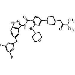 CC(C)C(=O)CN1CCN(c2ccc(C(=O)Nc3n[nH]c4ccc(Cc5cc(F)cc(F)c5)cc34)c(NC3CCOCC3)c2)CC1